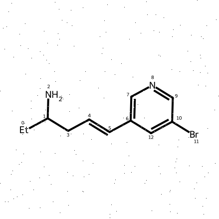 CCC(N)C/C=C/c1cncc(Br)c1